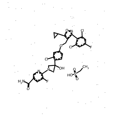 CCS(=O)(=O)O.NC(=O)c1cnc(N2CC(O)(c3ccc(OCc4c(-c5c(Cl)cc(F)cc5Cl)noc4C4CC4)cc3Cl)C2)c(F)c1